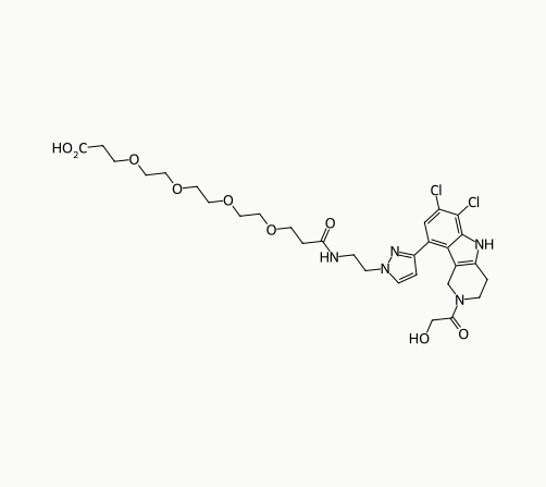 O=C(O)CCOCCOCCOCCOCCC(=O)NCCn1ccc(-c2cc(Cl)c(Cl)c3[nH]c4c(c23)CN(C(=O)CO)CC4)n1